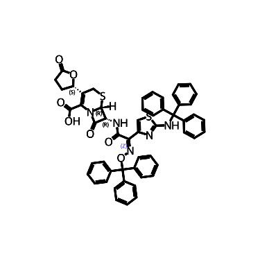 O=C1CC[C@@H](C2=C(C(=O)O)N3C(=O)[C@@H](NC(=O)/C(=N\OC(c4ccccc4)(c4ccccc4)c4ccccc4)c4csc(NC(c5ccccc5)(c5ccccc5)c5ccccc5)n4)[C@H]3SC2)O1